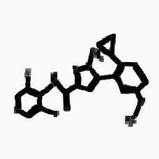 Cn1nc(C(=O)Nc2c(F)cncc2F)cc1-c1cc(OC(F)(F)F)ccc1C1CC1